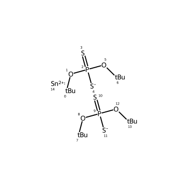 CC(C)(C)OP(=S)([S-])OC(C)(C)C.CC(C)(C)OP(=S)([S-])OC(C)(C)C.[Sn+2]